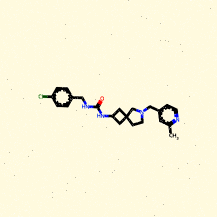 Cc1cc(CN2CCC3(CC(NC(=O)NCc4ccc(Cl)cc4)C3)C2)ccn1